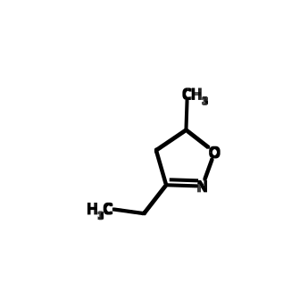 CCC1=NOC(C)C1